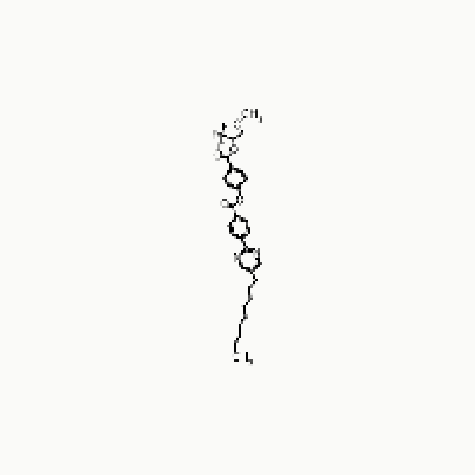 CCCCCCCCCc1cnc(-c2ccc(C(=O)Oc3ccc(C(=O)OC(COC)C(F)(F)F)cc3)cc2)nc1